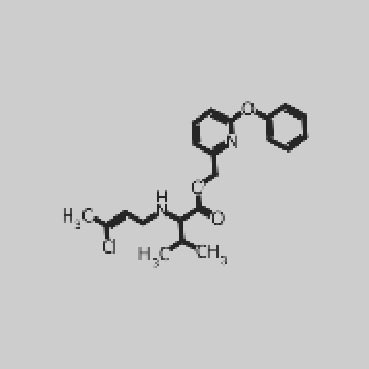 C/C(Cl)=C/CNC(C(=O)OCc1cccc(Oc2ccccc2)n1)C(C)C